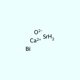 [Bi].[Ca+2].[O-2].[SrH2]